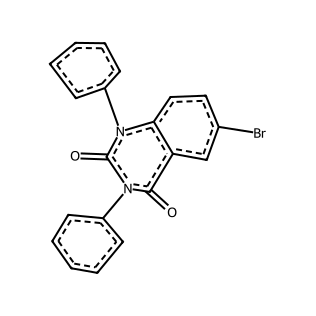 O=c1c2cc(Br)ccc2n(-c2ccccc2)c(=O)n1-c1ccccc1